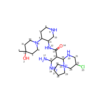 CC1(O)CCN(C2CCNCC2NC(=O)C(C(N)N)C2NCC(Cl)C[N+]23CCCC3)CC1